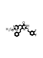 COc1ncc(Cc2c(CCc3ccccc3)nc(SCc3ccc(F)c(F)c3)[nH]c2=O)cn1